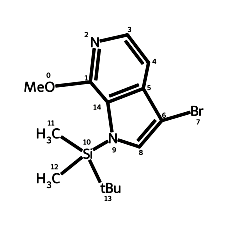 COc1nccc2c(Br)cn([Si](C)(C)C(C)(C)C)c12